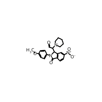 COc1ccc(N2C(=O)c3ccc([N+](=O)[O-])cc3C2C(C=O)N2CCCCC2)cc1